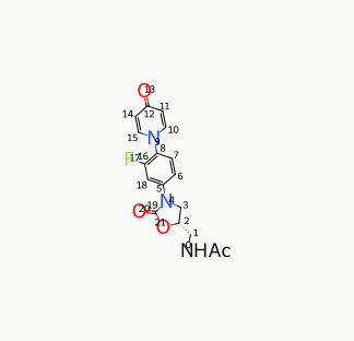 CC(=O)NC[C@H]1CN(c2ccc(-n3ccc(=O)cc3)c(F)c2)C(=O)O1